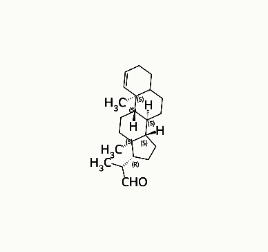 CC(C=O)[C@H]1CC[C@H]2[C@@H]3CCC4CCC=C[C@]4(C)[C@H]3CC[C@]12C